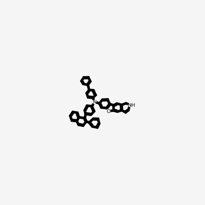 C1=Cc2cc3oc4cc(N(c5ccc(-c6ccccc6)cc5)c5ccc(-c6c(-c7ccccc7)ccc7ccccc67)cc5)ccc4c3cc2CN1